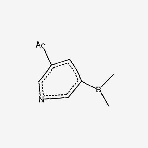 CB(C)c1cncc(C(C)=O)c1